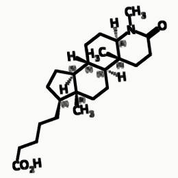 CN1C(=O)CC[C@]2(C)[C@H]3CC[C@]4(C)[C@@H](CCCCC(=O)O)CC[C@H]4[C@@H]3CC[C@@H]12